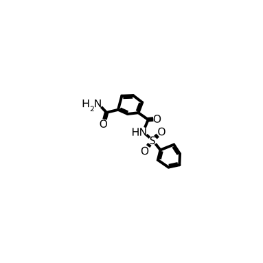 NC(=O)c1cccc(C(=O)NS(=O)(=O)c2ccccc2)c1